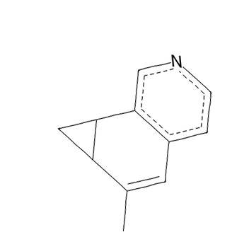 CC1=Cc2ccncc2C2CC12